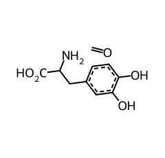 C=O.NC(Cc1ccc(O)c(O)c1)C(=O)O